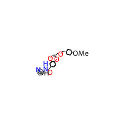 COc1ccc(COC[C@@H]2COc3cc(C(=O)N[C@H]4CN5CCC4CC5)ccc3O2)cc1